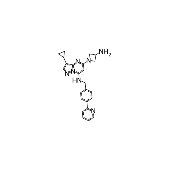 NC1CN(c2cc(NCc3ccc(-c4ccccn4)cc3)n3ncc(C4CC4)c3n2)C1